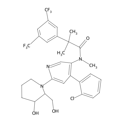 CN(C(=O)C(C)(C)c1cc(C(F)(F)F)cc(C(F)(F)F)c1)c1cnc(N2CCCC(O)C2CO)cc1-c1ccccc1Cl